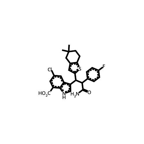 CC1(C)CCc2sc(C(c3c[nH]c4c(C(=O)O)cc(Cl)cc34)C(C(N)=O)c3ccc(F)cc3)cc2C1